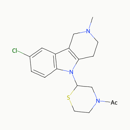 CC(=O)N1CCSC(n2c3c(c4cc(Cl)ccc42)CN(C)CC3)C1